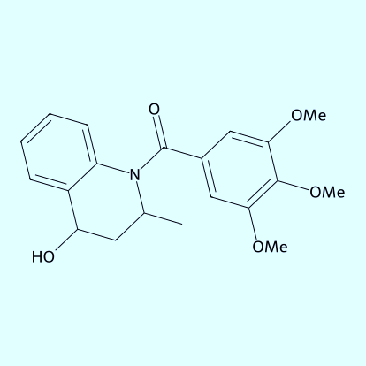 COc1cc(C(=O)N2c3ccccc3C(O)CC2C)cc(OC)c1OC